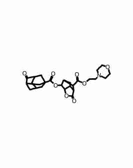 O=C1C2CC3CC1CC(C(=O)OC1C4CC5C1OC(=O)C5C4C(=O)OCCN1CCOCC1)(C3)C2